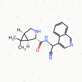 CC1(C)[C@@H]2[C@@H](C(=O)NC(C#N)c3cncc4ccccc34)NC[C@@H]21